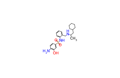 CC(CC1CCCCC1)NCc1ccccc1NS(=O)(=O)c1ccc(N)c(O)c1